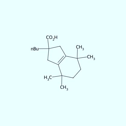 CCCCC1(C(=O)O)CC2=C(C1)C(C)(C)CCC2(C)C